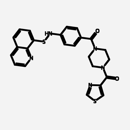 O=C(c1ccc(NSc2cccc3cccnc23)cc1)N1CCN(C(=O)c2cscn2)CC1